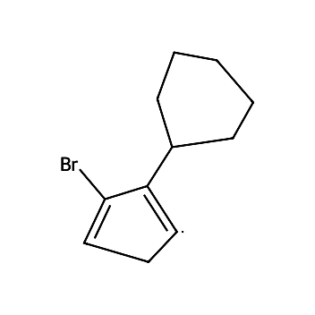 BrC1=CC[C]=C1C1CCCCC1